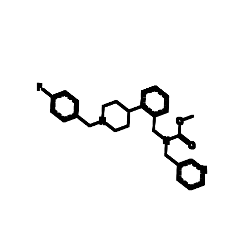 COC(=O)N(Cc1cccnc1)Cc1ccccc1C1CCN(Cc2ccc(F)cc2)CC1